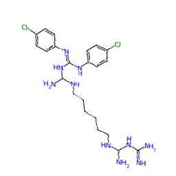 N=C(N)NC(N)NCCCCCCNC(N)NC(=Nc1ccc(Cl)cc1)Nc1ccc(Cl)cc1